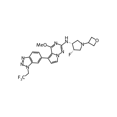 COc1nc(N[C@@H]2CN(C3COC3)C[C@@H]2F)nn2ccc(-c3ccc4nnn(CC(F)(F)F)c4c3)c12